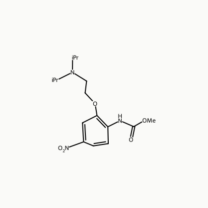 COC(=O)Nc1ccc([N+](=O)[O-])cc1OCCN(C(C)C)C(C)C